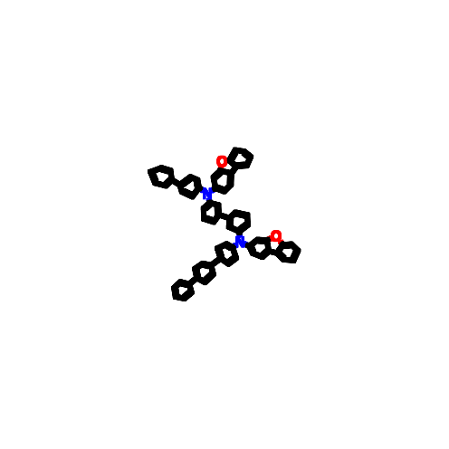 c1ccc(-c2ccc(-c3ccc(N(c4cccc(-c5cccc(N(c6ccc(-c7ccccc7)cc6)c6ccc7c(c6)oc6ccccc67)c5)c4)c4ccc5c(c4)oc4ccccc45)cc3)cc2)cc1